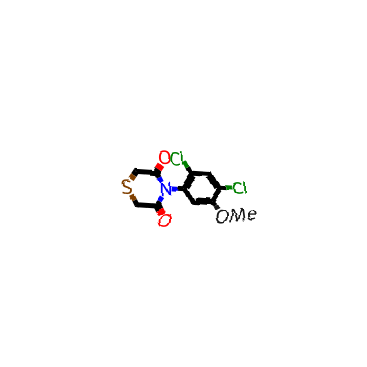 COc1cc(N2C(=O)CSCC2=O)c(Cl)cc1Cl